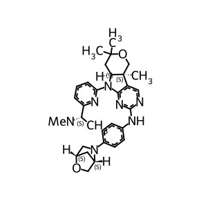 CN[C@@H](C)c1cccc(N2c3nc(Nc4ccc(N5C[C@@H]6C[C@H]5CO6)cc4)ncc3[C@]3(C)COC(C)(C)C[C@H]23)n1